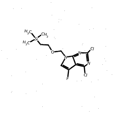 C[Si](C)(C)CCOCn1cc(F)c2c(Cl)nc(Cl)nc21